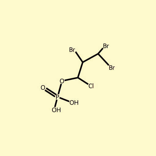 O=P(O)(O)OC(Cl)C(Br)C(Br)Br